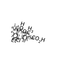 CCc1cc(C[C@@H]2CCCN2C[C@@H](O)CO[C@H](C)c2ccccc2CCC(=O)O)ccc1Cl